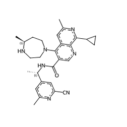 Cc1cc([C@H](C)NC(=O)c2cnc3c(C4CC4)nc(C)cc3c2N2CCN[C@@H](C)CC2)cc(C#N)n1